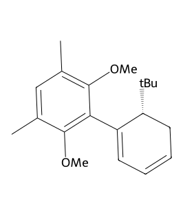 COc1c(C)cc(C)c(OC)c1C1=CC=CC[C@H]1C(C)(C)C